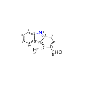 O=CC1=CCC2=Nc3ccccc3C2=C1.[H+]